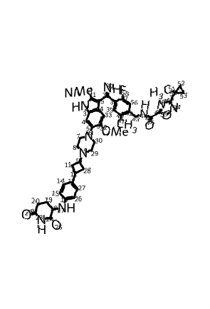 CNc1[nH]c2cc(N3CCN(C4CC(c5ccc(NC6CCC(=O)NC6=O)cc5)C4)CC3)c(OC)cc2c1C(=N)c1cc(C)c(CNC(=O)c2nc(C3(C)CC3)no2)cc1F